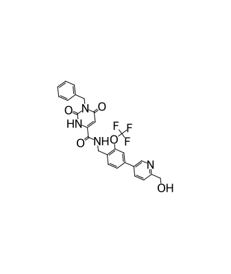 O=C(NCc1ccc(-c2ccc(CO)nc2)cc1OC(F)(F)F)c1cc(=O)n(Cc2ccccc2)c(=O)[nH]1